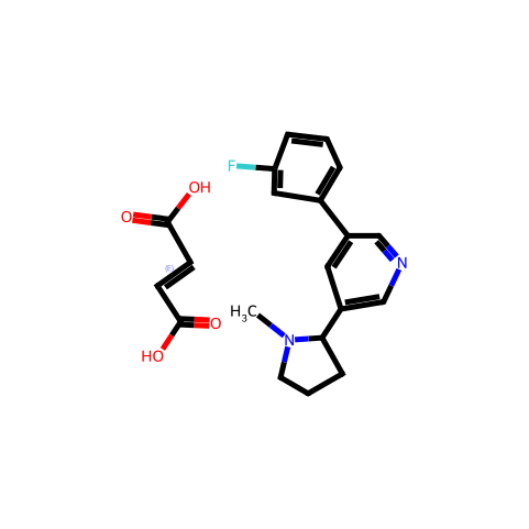 CN1CCCC1c1cncc(-c2cccc(F)c2)c1.O=C(O)/C=C/C(=O)O